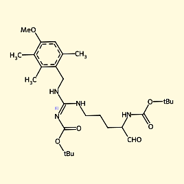 COc1cc(C)c(CN/C(=N/C(=O)OC(C)(C)C)NCCCC(C=O)NC(=O)OC(C)(C)C)c(C)c1C